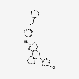 Clc1ccc(C2Cc3cnc(Nc4ccc(CCN5CCCCC5)cc4)nc3-c3ccccc32)cc1